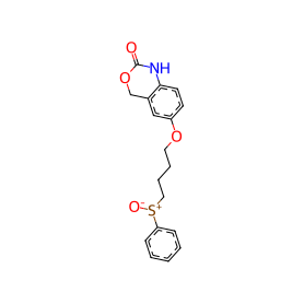 O=C1Nc2ccc(OCCCC[S+]([O-])c3ccccc3)cc2CO1